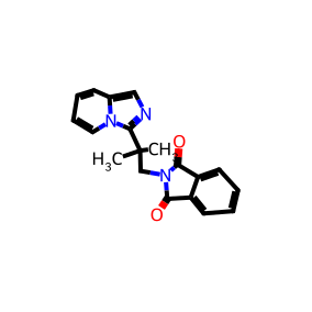 CC(C)(CN1C(=O)c2ccccc2C1=O)c1ncc2ccccn12